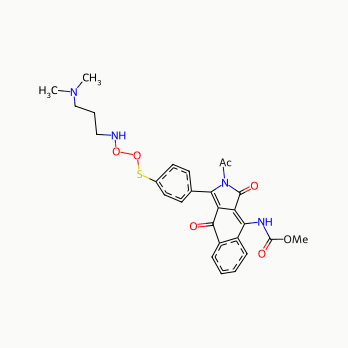 COC(=O)NC1=C2C(=O)N(C(C)=O)C(c3ccc(SOONCCCN(C)C)cc3)=C2C(=O)c2ccccc21